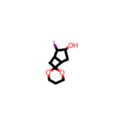 OC1CC2C(CC23OCCCO3)C1I